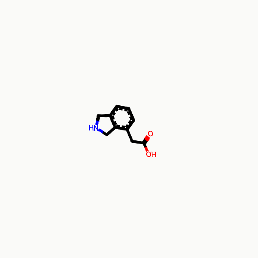 O=C(O)Cc1cccc2c1CNC2